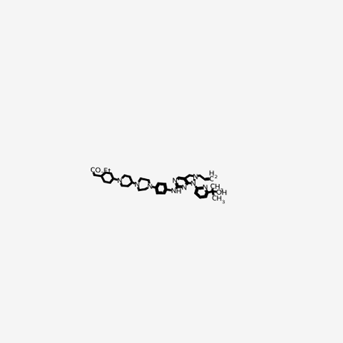 C=CCN1Cc2cnc(Nc3ccc(N4CCN(C5CCN(C6CCC(CC(=O)OCC)CC6)CC5)CC4)cc3)nc2N1c1cccc(C(C)(C)O)n1